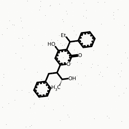 CCC(c1ccccc1)c1c(O)cc(C(Cc2ccccc2)[C@@H](C)O)oc1=O